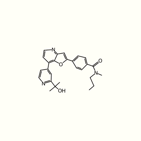 CCCN(C)C(=O)c1ccc(-c2cc3nccc(-c4ccnc(C(C)(C)O)c4)c3o2)cc1